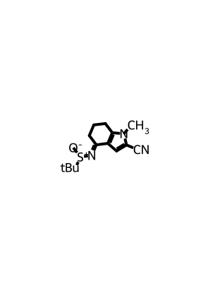 Cn1c(C#N)cc2c1CCCC2=N[S+]([O-])C(C)(C)C